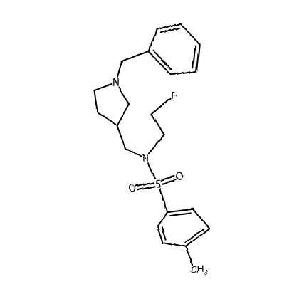 Cc1ccc(S(=O)(=O)N(CCF)CC2CCN(Cc3ccccc3)C2)cc1